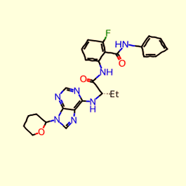 CC[C@H](Nc1ncnc2c1ncn2C1CCCCO1)C(=O)Nc1cccc(F)c1C(=O)Nc1ccccc1